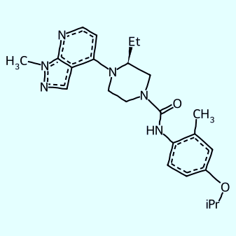 CC[C@H]1CN(C(=O)Nc2ccc(OC(C)C)cc2C)CCN1c1ccnc2c1cnn2C